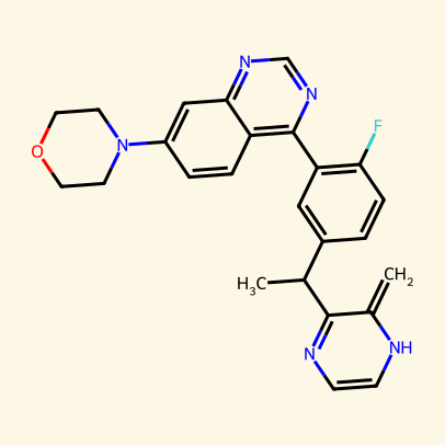 C=C1NC=CN=C1C(C)c1ccc(F)c(-c2ncnc3cc(N4CCOCC4)ccc23)c1